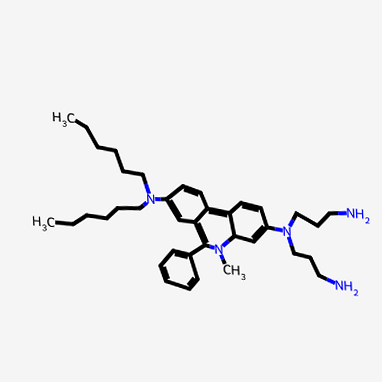 CCCCCCN(CCCCCC)c1ccc2c(c1)=C(c1ccccc1)N(C)C1C=C(N(CCCN)CCCN)C=CC=21